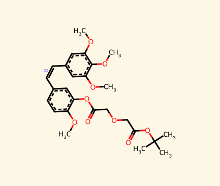 COc1ccc(/C=C\c2cc(OC)c(OC)c(OC)c2)cc1OC(=O)COCC(=O)OC(C)(C)C